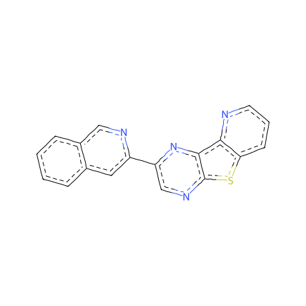 c1ccc2cc(-c3cnc4sc5cccnc5c4n3)ncc2c1